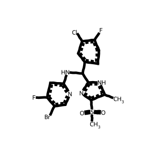 Cc1[nH]c(C(Nc2cc(F)c(Br)cn2)c2ccc(F)c(Cl)c2)nc1S(C)(=O)=O